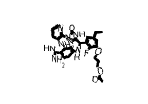 CCc1cc(OCCCOC(C)=O)c(F)c(C(Nc2ccc(C(=N)N)cc2)c2nn(-c3ncccc3N)c(=O)[nH]2)c1